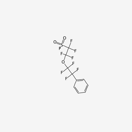 O=S(=O)(F)C(F)(F)C(F)(F)OC(F)(F)C(F)(F)c1ccccc1